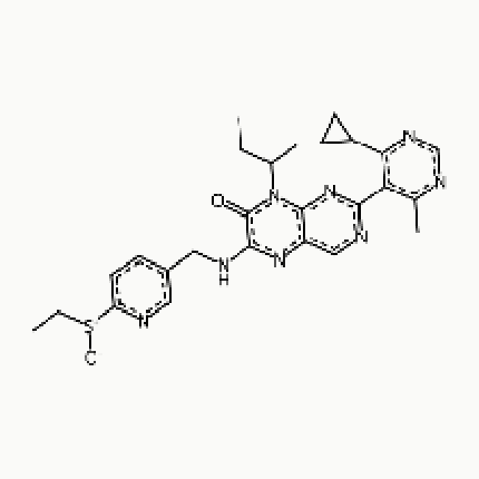 CCC(C)n1c(=O)c(NCc2ccc([S+]([O-])CC)nc2)nc2cnc(-c3c(C)ncnc3C3CC3)nc21